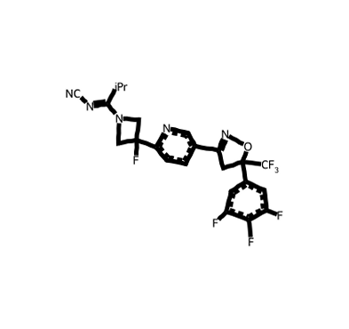 CC(C)C(=NC#N)N1CC(F)(c2ccc(C3=NOC(c4cc(F)c(F)c(F)c4)(C(F)(F)F)C3)cn2)C1